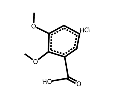 COc1cccc(C(=O)O)c1OC.Cl